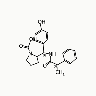 C[C@H](C(=O)N[C@H](c1ccc(O)cc1)C1CCCN1C(=O)O)c1ccccc1